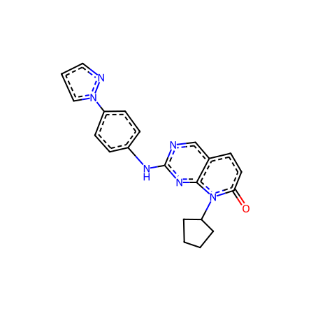 O=c1ccc2cnc(Nc3ccc(-n4cccn4)cc3)nc2n1C1CCCC1